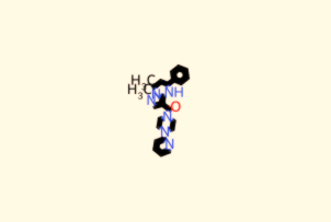 CC1(C)CC(c2ccccc2)Nc2c(C(=O)N3CCN(c4ccccn4)CC3)cnn21